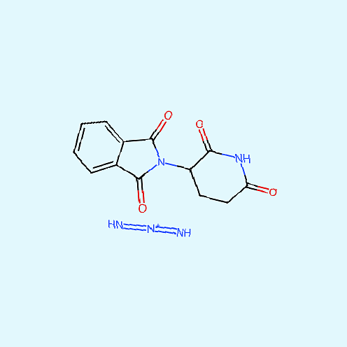 N=[N+]=N.O=C1CCC(N2C(=O)c3ccccc3C2=O)C(=O)N1